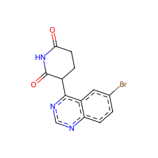 O=C1CCC(c2ncnc3ccc(Br)cc23)C(=O)N1